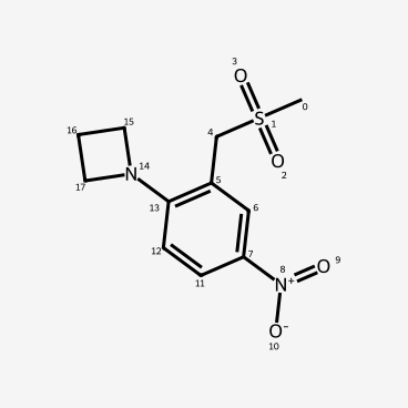 CS(=O)(=O)Cc1cc([N+](=O)[O-])ccc1N1CCC1